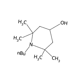 CCCCN1C(C)(C)CC(O)CC1(C)C